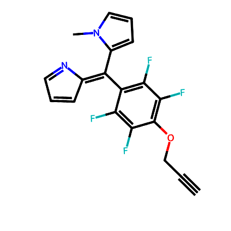 C#CCOc1c(F)c(F)c(/C(=C2\C=CC=N2)c2cccn2C)c(F)c1F